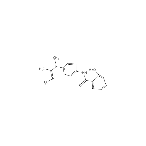 CN=C(C)N(C)c1ccc(NC(=O)c2ccccc2OC)cc1